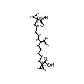 CC(=O)C(CCCCCC1(C(=O)O)CC1)CCCCCC1(C(=O)O)CC1